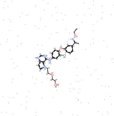 CCON=C(C)c1cccc(Oc2ccc(Nc3ncnc4ccn(CCOCCO)c34)cc2Cl)c1